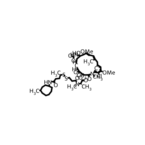 COc1cc2cc(c1Cl)N(C)C(=O)C[C@H](OC(=O)[C@H](C)N(C)C(=O)CCSSC(C)CCC(=O)NC1CCCCCC(C)CC1)C1(C)O[C@H]1C[C@@H]1C[C@@](O)(NC(=O)O1)[C@H](OC)/C=C/C=C(\C)C2